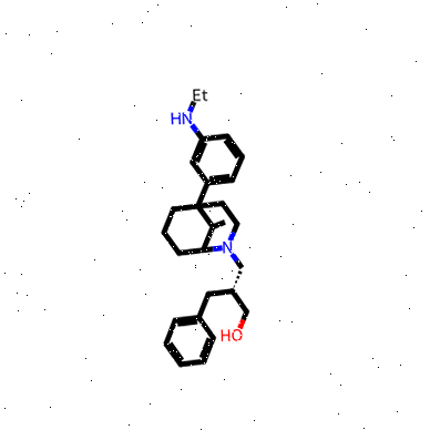 CCNc1cccc(C23CCCC(C2C)N(C[C@H](CO)Cc2ccccc2)CC3)c1